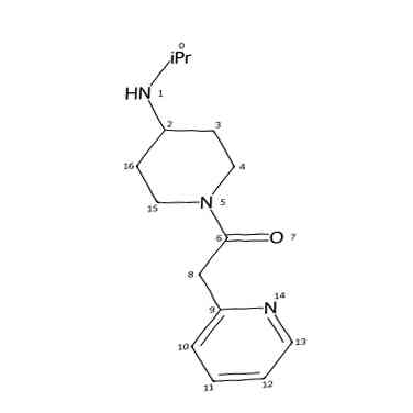 CC(C)NC1CCN(C(=O)Cc2ccccn2)CC1